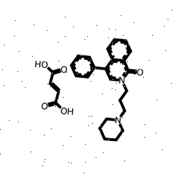 O=C(O)C=CC(=O)O.O=c1c2ccccc2c(-c2ccccc2)cn1CCCN1CCCCC1